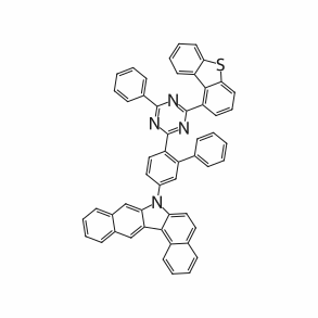 c1ccc(-c2nc(-c3ccc(-n4c5cc6ccccc6cc5c5c6ccccc6ccc54)cc3-c3ccccc3)nc(-c3cccc4sc5ccccc5c34)n2)cc1